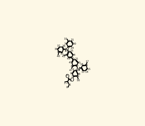 CCC(C)C(=O)Oc1ccc(N(c2cccc(C)c2)c2ccc(-c3ccc(N(c4cccc(C)c4)c4cccc(C)c4)c(C)c3)cc2C)cc1C